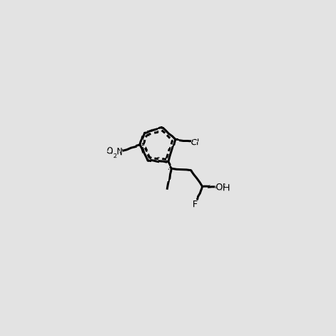 C[C](CC(O)F)c1cc([N+](=O)[O-])ccc1Cl